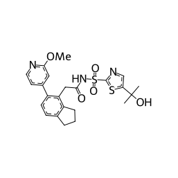 COc1cc(-c2ccc3c(c2CC(=O)NS(=O)(=O)c2ncc(C(C)(C)O)s2)CCC3)ccn1